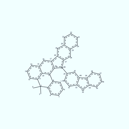 CC1(C)c2ccccc2-c2c3c1cccc3cc1c3cc4ccccc4cc3n(-c3ccc4oc5ccccc5c4c3)c21